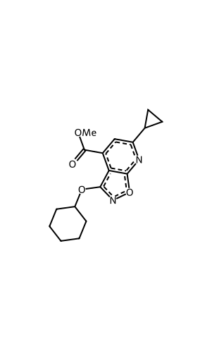 COC(=O)c1cc(C2CC2)nc2onc(OC3CCCCC3)c12